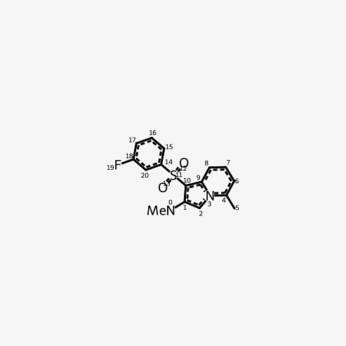 CNc1cn2c(C)cccc2c1S(=O)(=O)c1cccc(F)c1